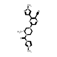 C[C@@H]1CN(c2cnc(C#N)c(-c3cnn(C)c3)n2)CCN1C(=O)n1cc[n+](C)c1